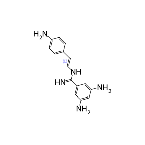 N=C(N/C=C/c1ccc(N)cc1)c1cc(N)cc(N)c1